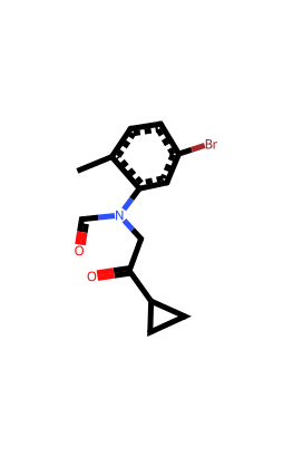 Cc1ccc(Br)cc1N(C=O)CC(=O)C1CC1